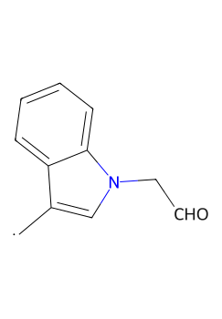 [CH2]c1cn(CC=O)c2ccccc12